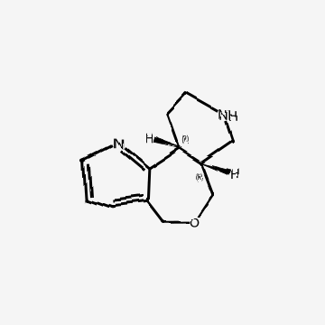 c1cnc2c(c1)COC[C@H]1CNCC[C@@H]21